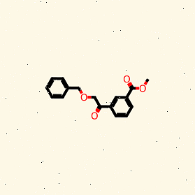 COC(=O)c1cccc(C(=O)COCc2ccccc2)c1